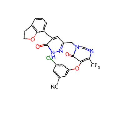 N#Cc1cc(Cl)cc(Oc2c(C(F)(F)F)ncn(Cc3cc(-c4cccc5c4OCC5)c(=O)[nH]n3)c2=O)c1